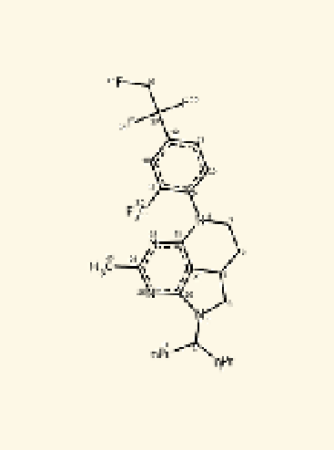 CCCC(CCC)N1CC2CCN(c3ccc(C(F)(F)CF)cc3C(F)(F)F)c3nc(C)nc1c32